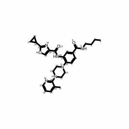 CCCCNC(=O)c1ccc(N2CCN(c3ncccc3C)CC2)c(NC(=O)c2coc(C3CC3)n2)c1